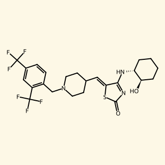 O=C1N=C(N[C@@H]2CCCC[C@H]2O)/C(=C/C2CCN(Cc3ccc(C(F)(F)F)cc3C(F)(F)F)CC2)S1